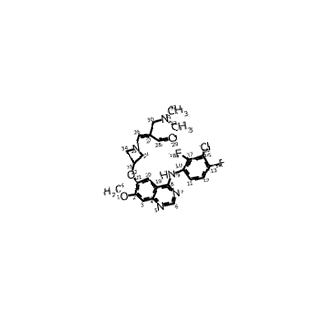 COc1cc2ncnc(Nc3ccc(F)c(Cl)c3F)c2cc1OC1CN(C=C(C=O)CN(C)C)C1